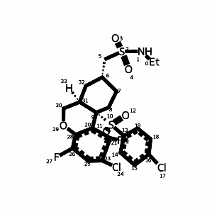 CCNS(=O)(=O)C[C@@H]1CC[C@@]2(S(=O)(=O)c3ccc(Cl)cc3)c3c(F)c(Cl)cc(F)c3OC[C@H]2C1